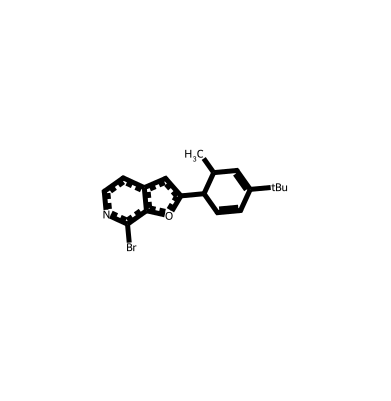 CC1C=C(C(C)(C)C)C=CC1c1cc2ccnc(Br)c2o1